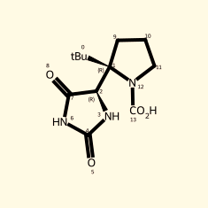 CC(C)(C)[C@@]1([C@H]2NC(=O)NC2=O)CCCN1C(=O)O